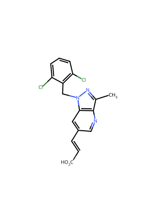 Cc1nn(Cc2c(Cl)cccc2Cl)c2cc(/C=C/C(=O)O)cnc12